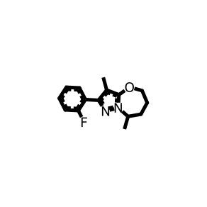 Cc1c(-c2ccccc2F)nn2c1OCCCC2C